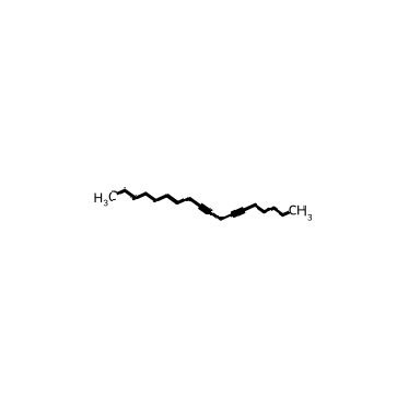 C[CH]CCCCCCC#CCC#CCCCCC